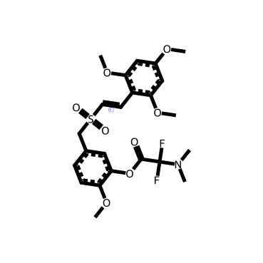 COc1cc(OC)c(/C=C/S(=O)(=O)Cc2ccc(OC)c(OC(=O)C(F)(F)N(C)C)c2)c(OC)c1